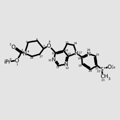 CC(C)OC(=O)N1CCC(Oc2ncnc3c2CCN3c2ccc([S+](C)[O-])cn2)CC1